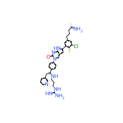 C[C@H](N)CCCc1cc(Cl)c(F)c(-c2cc3cn(-c4ccc([C@H](Cc5cccnc5)NCCCNC(=N)N)cc4)c(=O)nc3[nH]2)c1